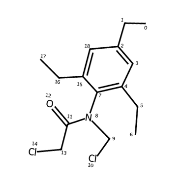 CCc1cc(CC)c(N(CCl)C(=O)CCl)c(CC)c1